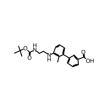 Cc1c(NCCNC(=O)OC(C)(C)C)cccc1-c1cccc(C(=O)O)c1